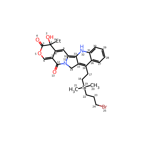 CCC1(O)C(=O)OC=c2c1cc1n(c2=O)CC2=C(CC[Si](C)(C)CCCBr)c3ccccc3NC=12